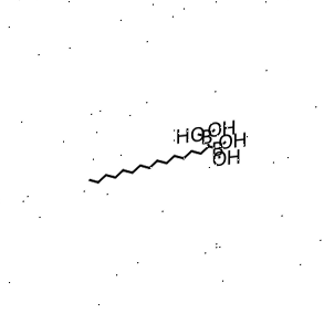 CCCCCCCCCCCCCCC(B(O)O)B(O)O